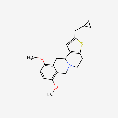 COc1ccc(OC)c2c1CC1c3cc(CC4CC4)sc3CCN1C2